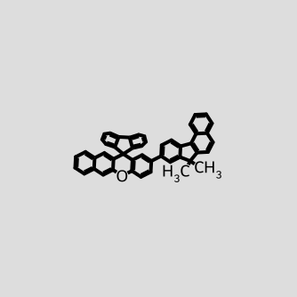 CC1(C)c2cc(-c3ccc4c(c3)C3(c5cc6ccccc6cc5O4)c4ccccc4-c4ccccc43)ccc2-c2c1ccc1ccccc21